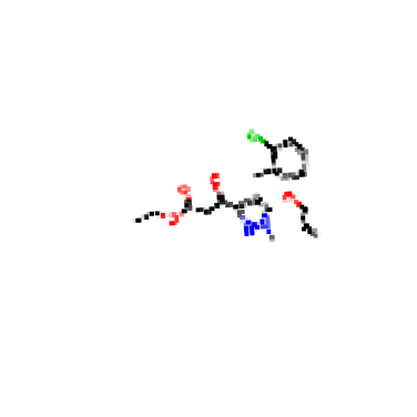 C=CCOc1cccc(Cl)c1Cc1cn(C)nc1C(=O)CC(=O)OCC